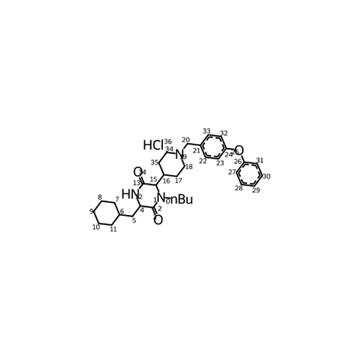 CCCCN1C(=O)C(CC2CCCCC2)NC(=O)C1C1CCN(Cc2ccc(Oc3ccccc3)cc2)CC1.Cl